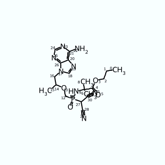 CCCOC(=O)C(C)(C)N[P@](=O)(COC(C)Cn1cnc2c(N)ncnc21)C(C#N)C#N